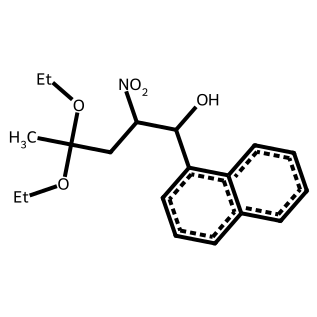 CCOC(C)(CC(C(O)c1cccc2ccccc12)[N+](=O)[O-])OCC